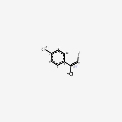 Cl/C(=C/I)c1ccc(Cl)cc1